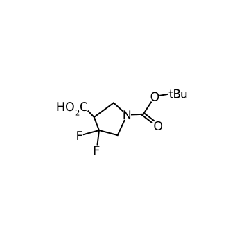 CC(C)(C)OC(=O)N1CC(C(=O)O)C(F)(F)C1